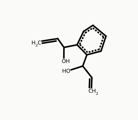 C=CC(O)c1ccccc1C(O)C=C